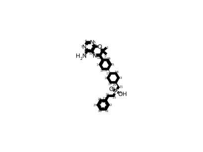 CC1(C)Oc2ncnc(N)c2N=C1C1=CCC([C@H]2CC[C@H](CP(=O)(O)CCc3ccccc3)CC2)C=C1